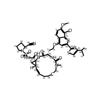 COc1ccc2c(OCC[C@@H]3NC(=O)N(C)CCCCC=C[C@@H]4C[C@@]4(C(=O)NS(=O)(=O)N4CCCC4C#N)NC3=O)cc(-c3nc(C(C)C)cs3)nc2c1Cl